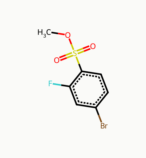 COS(=O)(=O)c1ccc(Br)cc1F